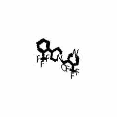 O=C(c1cnccc1C(F)(F)F)N1CCC(c2ccccc2C(F)(F)F)CC1